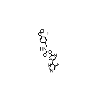 COc1ccc(CNC(=O)Oc2ncc(-c3ncncc3F)s2)cc1